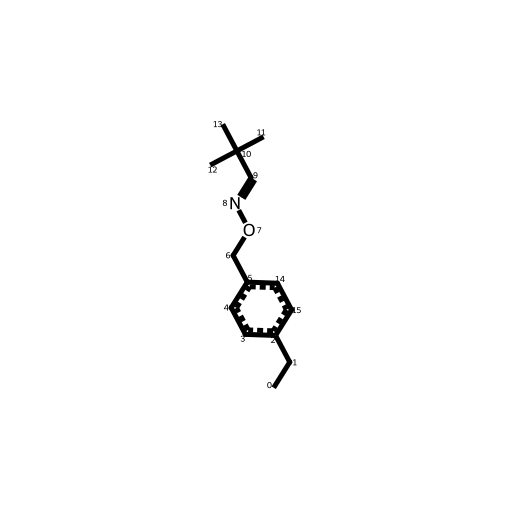 CCc1ccc(CON=CC(C)(C)C)cc1